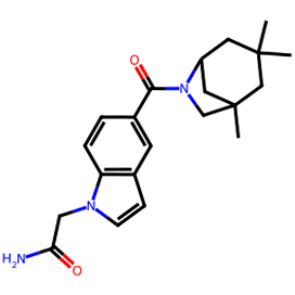 CC1(C)CC2CC(C)(CN2C(=O)c2ccc3c(ccn3CC(N)=O)c2)C1